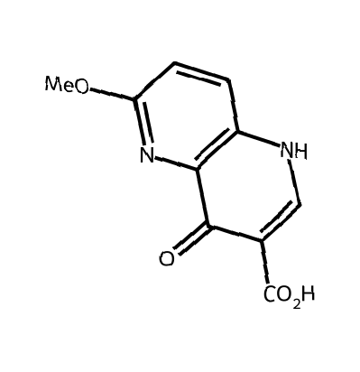 COc1ccc2[nH]cc(C(=O)O)c(=O)c2n1